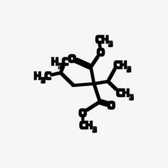 COC(=O)C(CC(C)C)(C(=O)OC)C(C)C